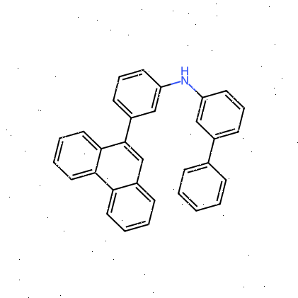 c1ccc(-c2cccc(Nc3cccc(-c4cc5ccccc5c5ccccc45)c3)c2)cc1